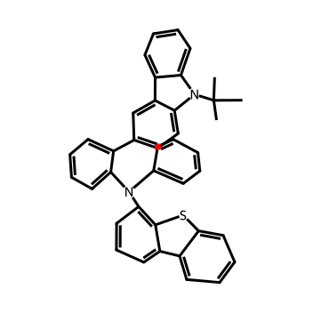 CC(C)(C)n1c2ccccc2c2cc(-c3ccccc3N(c3ccccc3)c3cccc4c3sc3ccccc34)ccc21